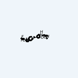 Cc1ncc(CC(=O)N[C@H]2CC[C@H](CCN3CCc4ccc(OCC(C)(F)F)nc4CC3)CC2)o1